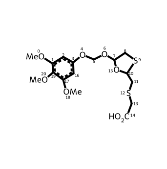 COc1cc(OCOC2CSC(CSCC(=O)O)O2)cc(OC)c1OC